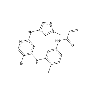 C=CC(=O)Nc1ccc(F)c(Nc2nc(Nc3cnn(C)c3)ncc2Br)c1